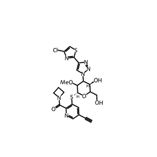 C#Cc1cnc(C(=O)N2CCC2)c(S[C@H]2OC(CO)[C@H](O)C(n3cc(-c4nc(Cl)cs4)nn3)C2OC)c1